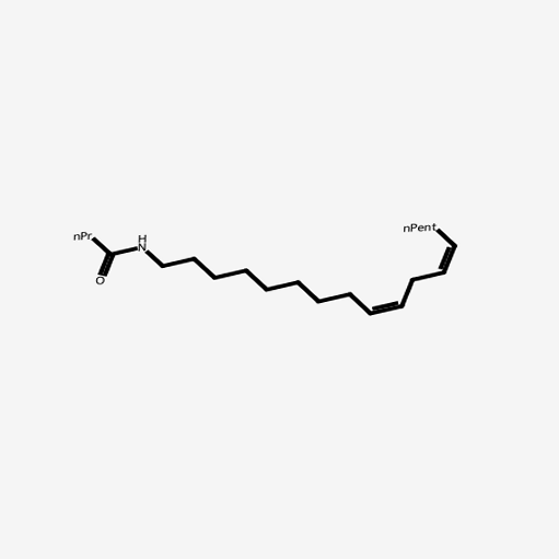 CCCCC/C=C\C/C=C\CCCCCCCCNC(=O)CCC